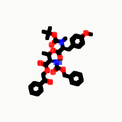 COc1ccc(C[C@@H](C(=O)OC(C)[C@H](NC(=O)OCc2ccccc2)C(=O)OCC(=O)c2ccccc2)N(C)C(=O)OC(C)(C)C)cc1